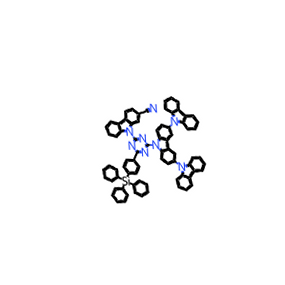 N#Cc1ccc2c3ccccc3n(-c3nc(-c4ccc([Si](c5ccccc5)(c5ccccc5)c5ccccc5)cc4)nc(-n4c5ccc(-n6c7ccccc7c7ccccc76)cc5c5cc(-n6c7ccccc7c7ccccc76)ccc54)n3)c2c1